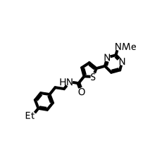 CCc1ccc(CCNC(=O)c2ccc(-c3ccnc(NC)n3)s2)cc1